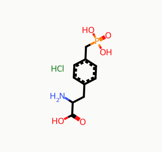 Cl.NC(Cc1ccc(CP(=O)(O)O)cc1)C(=O)O